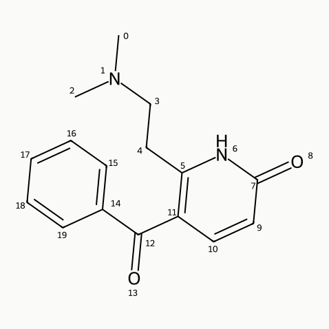 CN(C)CCc1[nH]c(=O)ccc1C(=O)c1ccccc1